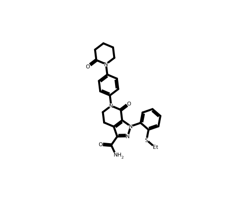 CCSc1ccccc1-n1nc(C(N)=O)c2c1C(=O)N(c1ccc(N3CCCCC3=O)cc1)CC2